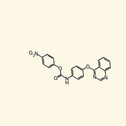 O=C(Nc1ccc(Oc2ncnc3ccccc23)cc1)Oc1ccc([N+](=O)[O-])cc1